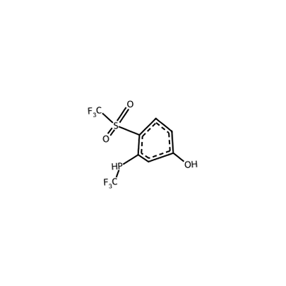 O=S(=O)(c1ccc(O)cc1PC(F)(F)F)C(F)(F)F